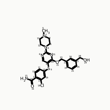 CN1CCN(c2ncc(Sc3ccc(C(N)=O)c(Cl)c3)c(OCc3cccc(CO)c3)n2)CC1